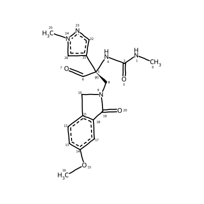 CNC(=O)N[C@@](C=O)(CN1Cc2ccc(OC)cc2C1=O)c1cnn(C)c1